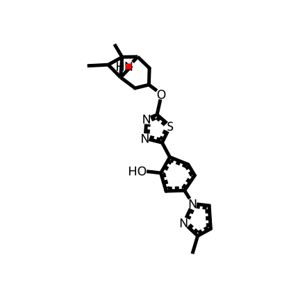 Cc1ccn(-c2ccc(-c3nnc(OC4CC5NCC6(C4)C(C)C56C)s3)c(O)c2)n1